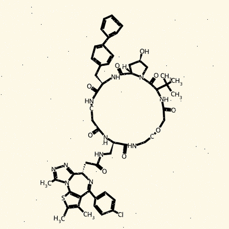 Cc1sc2c(c1C)C(c1ccc(Cl)cc1)=N[C@@H](CC(=O)NC[C@H]1NC(=O)CCNC(=O)[C@@H](Cc3ccc(-c4ccccc4)cc3)NC(=O)[C@@H]3C[C@@H](O)CN3C(=O)C(C(C)(C)C)NC(=O)COCCNC1=O)c1nnc(C)n1-2